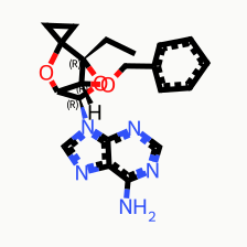 CC[C@]12O[C@@H](n3cnc4c(N)ncnc43)C(OC13CC3)[C@H]2OCc1ccccc1